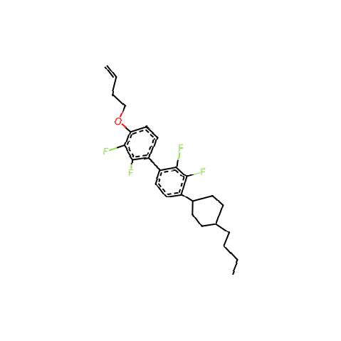 C=CCCOc1ccc(-c2ccc(C3CCC(CCCC)CC3)c(F)c2F)c(F)c1F